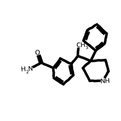 CC(c1cccc(C(N)=O)c1)C1(c2ccccc2)CCNCC1